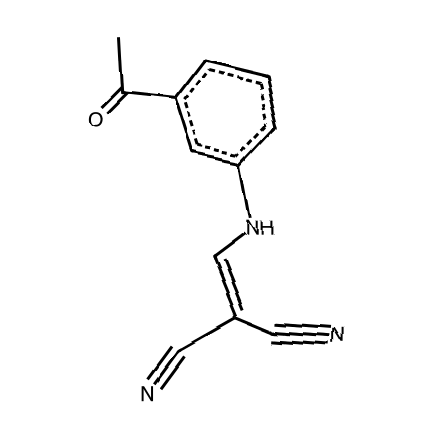 CC(=O)c1cccc(NC=C(C#N)C#N)c1